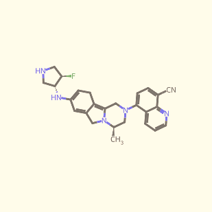 C[C@@H]1CN(c2ccc(C#N)c3ncccc23)CC2=C3CC=C(N[C@@H]4CNC[C@H]4F)C=C3CN21